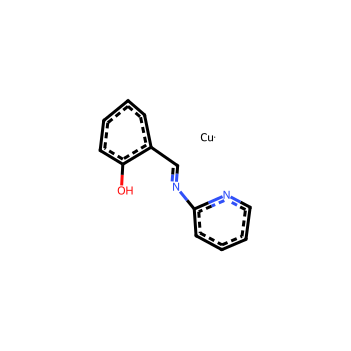 Oc1ccccc1C=Nc1ccccn1.[Cu]